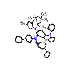 CC1(C)CC2(C)c3cc(C(C)(C)C)ccc3N(c3cc4c5c(c3)N(c3ccc(-c6ccccc6)cc3)c3ccc(-c6ccccc6)cc3B5c3ccccc3N4c3ccccc3)C2(C)C1